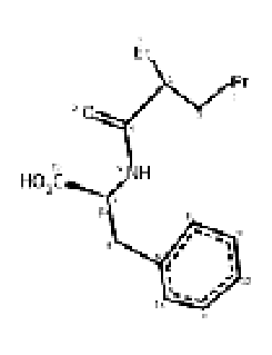 CCC(CC(C)C)C(=O)N[C@@H](Cc1ccccc1)C(=O)O